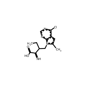 CCC(Cn1c(C)cc2c(Cl)ncnc21)C(=N)C(=O)O